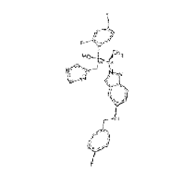 C[C@@H](n1cc2cc(NCc3ccc(F)cc3)ccc2n1)[C@](O)(Cn1cncn1)c1ccc(F)cc1F